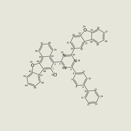 Clc1c(-c2nc(-c3ccc(-c4ccccc4)cc3)nc(-c3ccc4oc5ccccc5c4c3)n2)c2ccccc2c2oc3ccccc3c12